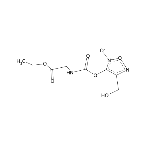 CCOC(=O)CNC(=O)Oc1c(CO)no[n+]1[O-]